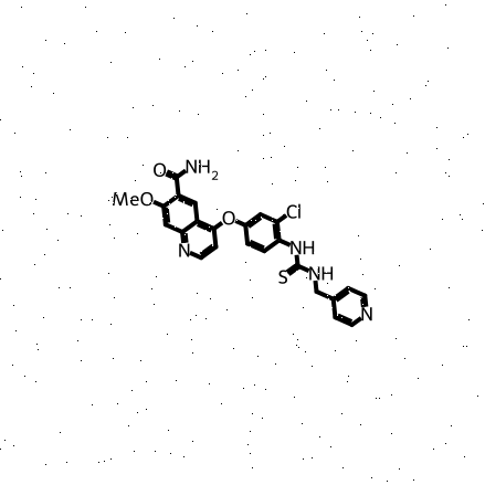 COc1cc2nccc(Oc3ccc(NC(=S)NCc4ccncc4)c(Cl)c3)c2cc1C(N)=O